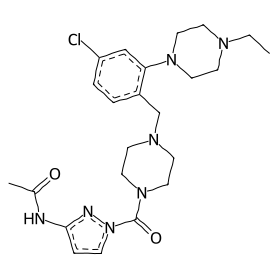 CCN1CCN(c2cc(Cl)ccc2CN2CCN(C(=O)n3ccc(NC(C)=O)n3)CC2)CC1